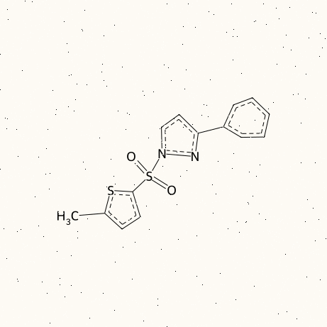 Cc1ccc(S(=O)(=O)n2ccc(-c3ccccc3)n2)s1